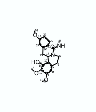 CNC(=O)N1CCc2cc(OC)c(OC)c(O)c2C1Cc1cccc(OC)c1